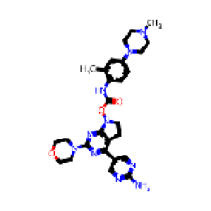 Cc1cc(N2CCN(C)CC2)ccc1NC(=O)ON1CCc2c(-c3cnc(N)nc3)nc(N3CCOCC3)nc21